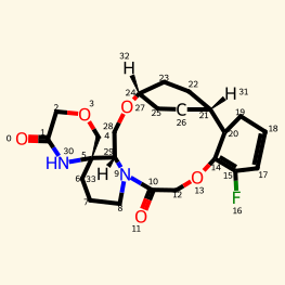 O=C1COC[C@@]2(CCCN3C(=O)COC4=C(F)C=CCC4[C@H]4CC[C@H](CC4)OC[C@H]32)N1